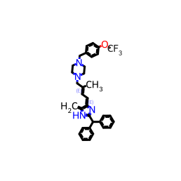 C=c1[nH]c(C(c2ccccc2)c2ccccc2)n/c1=C/C=C(\C)CN1CCN(Cc2ccc(OC(F)(F)F)cc2)CC1